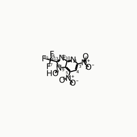 O=[N+]([O-])c1cc([N+](=O)[O-])c2c(n1)nc(C(F)(F)F)n2O